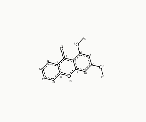 COc1cc(OC)c2c(=O)c3ccccc3oc2c1